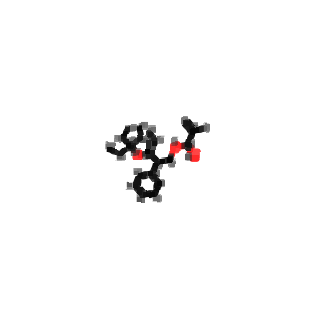 C=C(C)C(=O)OCC(c1ccccc1)[SiH](CC)O[Si](CC)(CC)CC